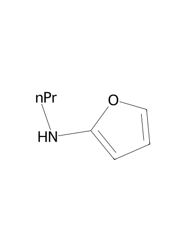 CCCNc1ccco1